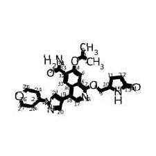 CC(C)Oc1cc2c(OCC3CCC(=O)N3)ncc(-c3cnn(C4CCOCC4)c3)c2cc1C(N)=O